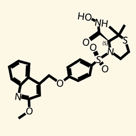 COc1cc(COc2ccc(S(=O)(=O)N3CCSC(C)(C)[C@@H]3C(=O)NO)cc2)c2ccccc2n1